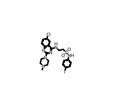 CN1CCN(c2nc(NCCS(=O)(=O)Nc3ccc(I)cc3)c3cc(Cl)ccc3n2)CC1